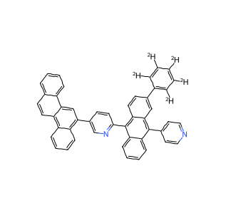 [2H]c1c([2H])c([2H])c(-c2ccc3c(-c4ccc(-c5cc6c7ccccc7ccc6c6ccccc56)cn4)c4ccccc4c(-c4ccncc4)c3c2)c([2H])c1[2H]